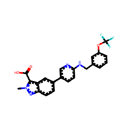 Cn1nc2ccc(-c3ccc(NCc4cccc(OC(F)(F)F)c4)nc3)cc2c1C(=O)O